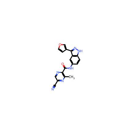 Cc1nc(C#N)cnc1C(=O)Nc1ccc2[nH]nc(-c3ccoc3)c2c1